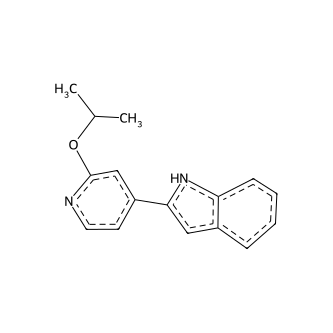 CC(C)Oc1cc(-c2cc3ccccc3[nH]2)ccn1